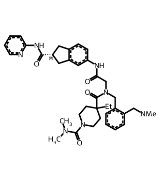 CCC1(C(=O)N(CC(=O)Nc2ccc3c(c2)C[C@H](C(=O)Nc2ccccn2)C3)Cc2ccccc2CNC)CCN(C(=O)N(C)C)CC1